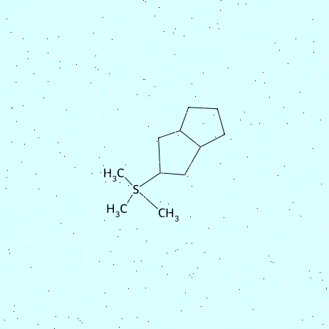 CS(C)(C)C1CC2CCCC2C1